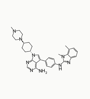 Cc1cccc2nc(Nc3ccc(-c4cn([C@H]5CC[C@H](N6CCN(C)CC6)CC5)c5ncnc(N)c45)cc3)n(C)c12